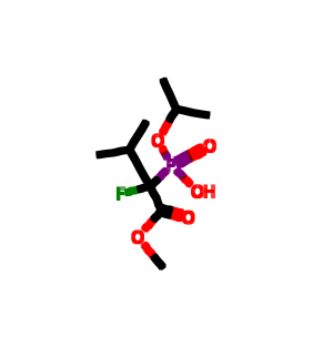 COC(=O)C(F)(C(C)C)P(=O)(O)OC(C)C